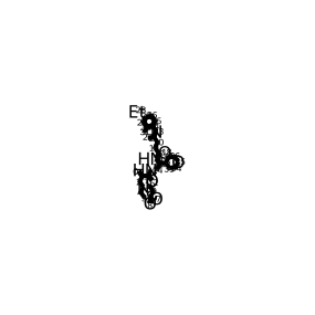 C=C(CN1CCS(=O)(=O)CC1)C(=O)NCC(NC(=O)CC/C(C)=N/c1ccc(CC)cc1C)C1CCOCC1